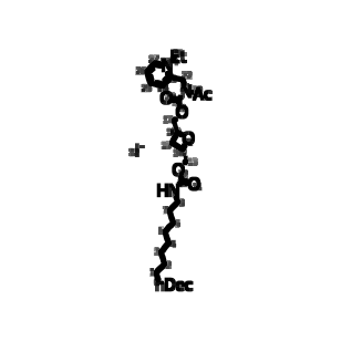 CCCCCCCCCCCCCCCCCCNC(=O)OC[C@@H]1C[C@@H](COC(=O)N(Cc2cccc[n+]2CC)C(C)=O)O1.[I-]